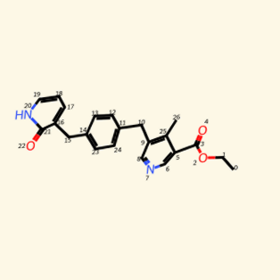 CCOC(=O)c1cncc(Cc2ccc(Cc3ccc[nH]c3=O)cc2)c1C